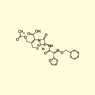 CC(=O)OCC1=C(C(=O)O)N2C(=O)[C@@H](NC(=O)C(=NOCc3ccccc3)c3ccco3)[C@H]2SC1